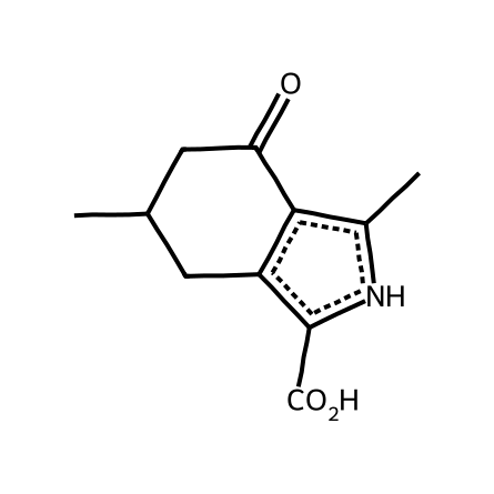 Cc1[nH]c(C(=O)O)c2c1C(=O)CC(C)C2